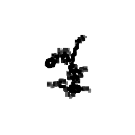 Cc1cc(N(CCCCCN=[N+]=[N-])c2ccc(-c3cnn(CC45CC6(C)CC(C)(C4)CC(OCCN(C)C)(C6)C5)c3C)c(C(=O)O)n2)nnc1Nc1nc2ccccc2s1